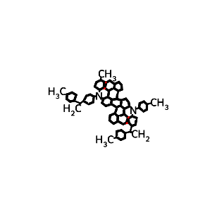 C=C(c1ccc(C)cc1)c1ccc(N(c2ccc(C)cc2)c2ccc3c4c5cccc6cccc(c7c(N(c8ccc(C)cc8)c8ccc(C(=C)c9ccc(C)cc9)cc8)ccc(c8c9cccc%10cccc(c2c38)c%109)c74)c65)cc1